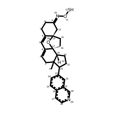 CC12CC=C3C=C4CCC(=NOS)C[C@]45CC[C@]3(O5)[C@@H]1CCC2c1ccc2ccncc2c1